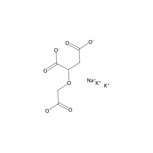 O=C([O-])COC(CC(=O)[O-])C(=O)[O-].[K+].[K+].[Na+]